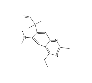 C=CC(C)(C)c1cc2nc(C)nc(CC)c2cc1N(C)C